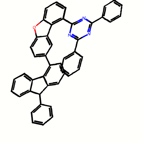 c1ccc(-c2nc(-c3ccccc3)nc(-c3cccc4oc5ccc(-c6cccc7c6-c6ccccc6C7c6ccccc6)cc5c34)n2)cc1